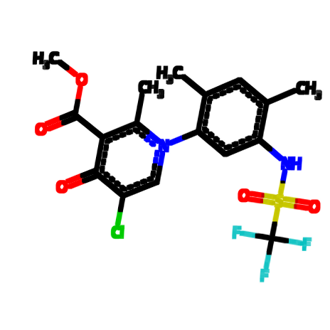 COC(=O)c1c(C)n(-c2cc(NS(=O)(=O)C(F)(F)F)c(C)cc2C)cc(Cl)c1=O